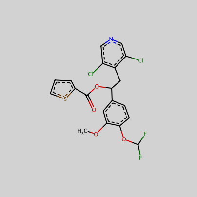 COc1cc(C(Cc2c(Cl)cncc2Cl)OC(=O)c2cccs2)ccc1OC(F)F